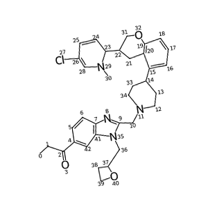 CCC(=O)c1ccc2nc(CN3CCC(c4cccc5c4CC(C4C=CC(Cl)=CN4C)CO5)CC3)n(CC3CCO3)c2c1